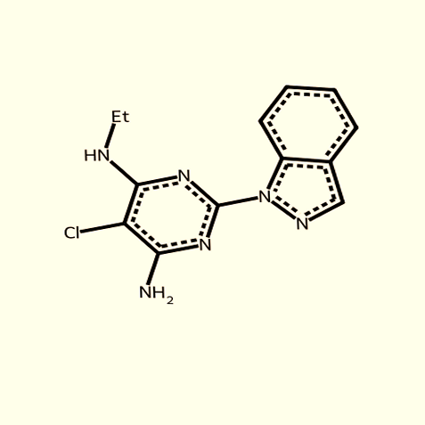 CCNc1nc(-n2ncc3ccccc32)nc(N)c1Cl